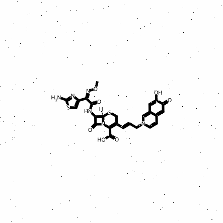 CO/N=C(\C(=O)NC1C(=O)N2C(C(=O)O)=C(/C=C/Cn3ccc4cc(=O)c(O)cc-4c3)CS[C@H]12)c1csc(N)n1